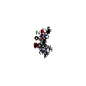 N#CC(C#N)=C1/C(=N/C2=Cc3sc4c(sc5c6c(sc54)C=C(/N=C4/C(=O)c5cc(F)c(F)cc5C4=C(C#N)C#N)C6(C(=O)OCc4ccccc4)C(=O)OCc4ccccc4)c3C2(C(=O)OCc2ccccc2)C(=O)OCc2ccccc2)C(=O)c2cc(F)c(F)cc21